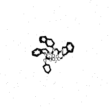 O=C(O)C[C@H]1Cc2ccccc2CN1C(=O)CN(C(=O)[C@H]1Cc2ccccc2N1C(=O)OC1CCCCC1)C1CCc2ccccc2C1